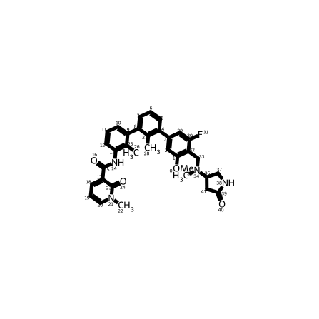 COc1cc(-c2cccc(-c3cccc(NC(=O)c4cccn(C)c4=O)c3C)c2C)cc(F)c1CN(C)C1CNC(=O)C1